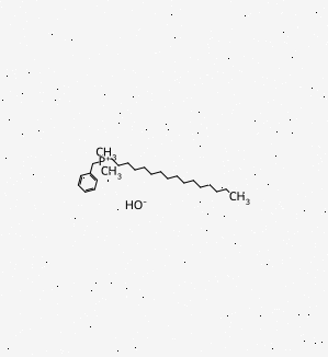 CCCCCCCCCCCCCCCC[P+](C)(C)Cc1ccccc1.[OH-]